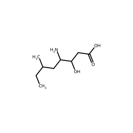 CCC(C)CC(N)C(O)CC(=O)O